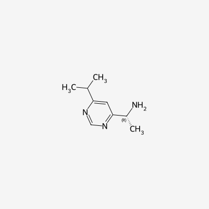 CC(C)c1cc([C@@H](C)N)ncn1